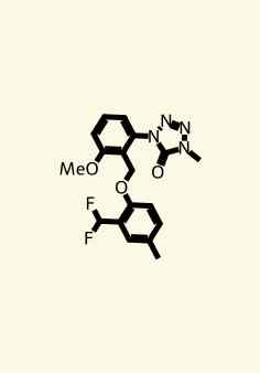 COc1cccc(-n2nnn(C)c2=O)c1COc1ccc(C)cc1C(F)F